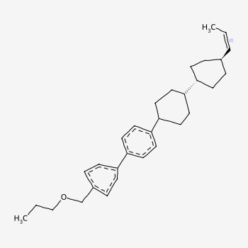 C/C=C\[C@H]1CC[C@H](C2CCC(c3ccc(-c4ccc(COCCC)cc4)cc3)CC2)CC1